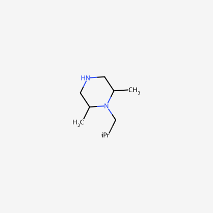 C[C](C)CN1C(C)CNCC1C